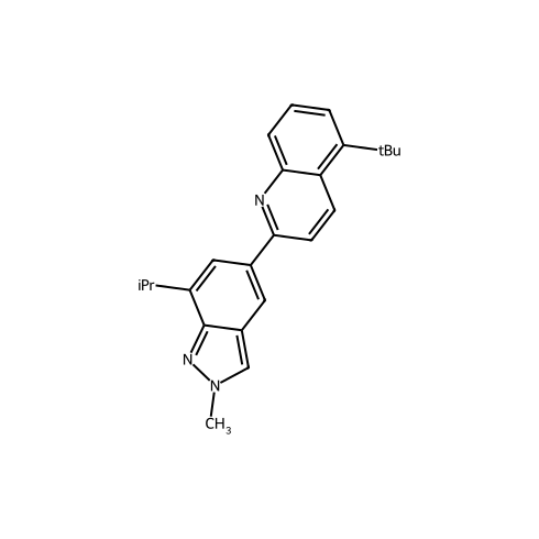 CC(C)c1cc(-c2ccc3c(C(C)(C)C)cccc3n2)cc2cn(C)nc12